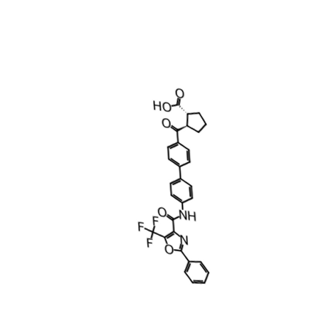 O=C(Nc1ccc(-c2ccc(C(=O)[C@@H]3CCC[C@H]3C(=O)O)cc2)cc1)c1nc(-c2ccccc2)oc1C(F)(F)F